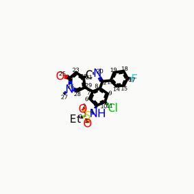 CCS(=O)(=O)Nc1cc2c(cc1Cl)C(c1ccc(F)cc1)=NCc1cc(=O)n(C)cc1-2